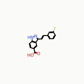 O=C(O)c1ccc2[nH]nc(C=Cc3cccc(F)c3)c2c1